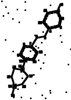 Cc1ccc(CCc2cc[n+](N3CCN(C)CC3)cc2)cc1